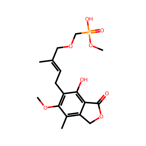 COc1c(C)c2c(c(O)c1C/C=C(\C)COCP(=O)(O)OC)C(=O)OC2